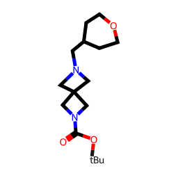 CC(C)(C)OC(=O)N1CC2(CN(CC3CCOCC3)C2)C1